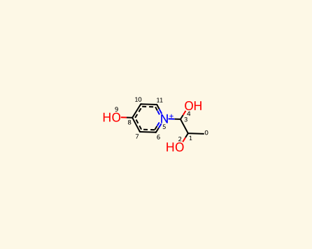 CC(O)C(O)[n+]1ccc(O)cc1